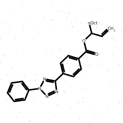 C=CC(CCCCCCCC)OC(=O)c1ccc(-c2nnn(-c3ccccc3)n2)cc1